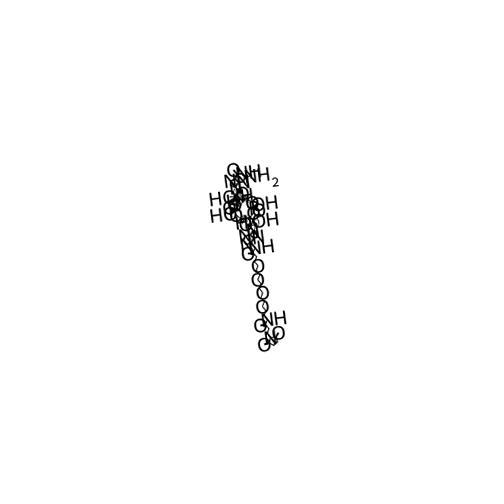 Nc1nc2c(ncn2[C@@H]2O[C@@H]3COP(=O)(O)OC4[C@@H](COP(=O)(O)O[C@@H]3C2O)O[C@@H](n2cnc3c(NC(=O)CCOCCOCCOCCOCCNC(=O)CCN5C(=O)C=CC5=O)ncnc32)[C@H]4O)c(=O)[nH]1